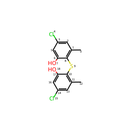 Cc1cc(Cl)cc(O)c1Sc1c(C)cc(Cl)cc1O